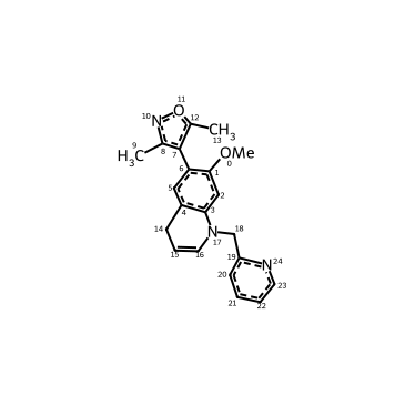 COc1cc2c(cc1-c1c(C)noc1C)CC=CN2Cc1ccccn1